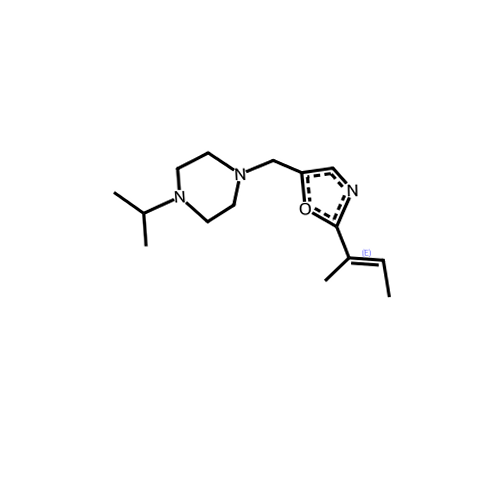 C/C=C(\C)c1ncc(CN2CCN(C(C)C)CC2)o1